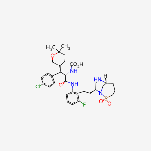 CC1(C)CCC([C@H](c2ccc(Cl)cc2)[C@H](NC(=O)O)C(=O)Nc2cccc(F)c2CC[C@H]2CN[C@@H]3CCCS(=O)(=O)N2C3)CO1